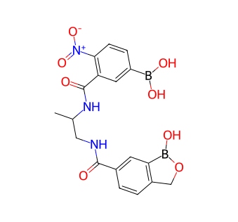 CC(CNC(=O)c1ccc2c(c1)B(O)OC2)NC(=O)c1cc(B(O)O)ccc1[N+](=O)[O-]